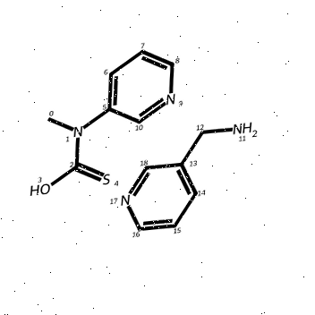 CN(C(O)=S)c1cccnc1.NCc1cccnc1